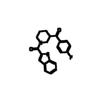 O=C(c1ccc(F)cc1)C1CCCN(C(=O)c2cc3ccccc3s2)C1